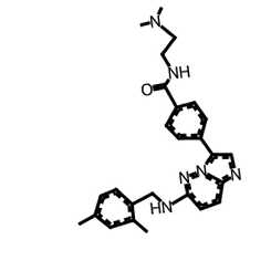 Cc1ccc(CNc2ccc3ncc(-c4ccc(C(=O)NCCN(C)C)cc4)n3n2)c(C)c1